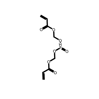 C=CC(=O)OCO[PH](=O)OCOC(=O)C=C